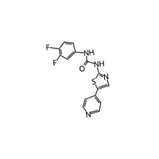 O=C(Nc1ccc(F)c(F)c1)Nc1ncc(-c2ccncc2)s1